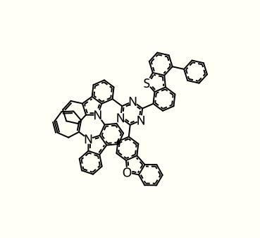 C1#CCC(n2c3ccccc3c3cccc(-n4c5c(c6cccc(-c7nc(-c8ccc9oc%10ccccc%10c9c8)nc(-c8cccc9c8sc8cccc(-c%10ccccc%10)c89)n7)c64)C=CCC5)c32)=CC=C1